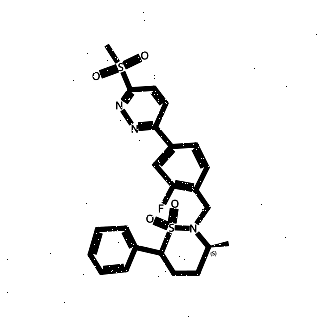 C[C@H]1CCC(c2ccccc2)S(=O)(=O)N1Cc1ccc(-c2ccc(S(C)(=O)=O)nn2)cc1F